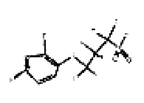 O=S(=O)(F)C(F)(F)C(F)(F)C(F)(F)Sc1ccc(F)cc1F